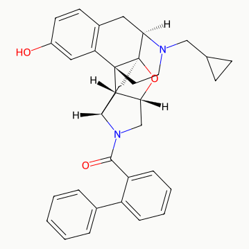 O=C(c1ccccc1-c1ccccc1)N1C[C@H]2O[C@@]34CC[C@@H]1[C@@H]2[C@@]31CCN(CC2CC2)[C@@H]4Cc2ccc(O)cc21